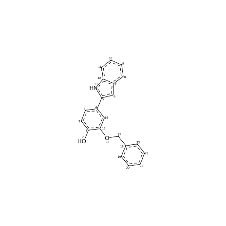 Oc1ccc(-c2cc3ccccc3[nH]2)cc1OCc1ccccc1